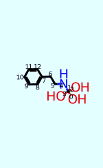 OC(O)(O)NCCc1ccccc1